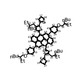 CCCCC(CC)COc1ccc(-c2cc3c(-c4cc(CC(CC)CCCC)c(-c5cccs5)s4)c4cccc5c(-c6ccc(OCC(CC)CCCC)cc6)cc6c(-c7cc(CC(CC)CCCC)c(-c8cccs8)s7)c7cccc2c7c3c6c54)cc1